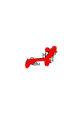 Cc1ccc(S(=O)(=O)n2cnc(C[C@H](NC(=O)OC(C)(C)C)C(=O)OCCCCCCCCCCCCNC(=O)[C@@H]3CN(C(=O)c4ccc(C(=O)N5C[C@@H](C(=O)N[C@H]6C[C@@H]6c6ccccc6)[C@H](C(=O)N[C@H]6C[C@@H]6c6ccccc6)C5)cc4)C[C@H]3C(=O)N[C@H]3C[C@@H]3c3ccccc3)c2)cc1